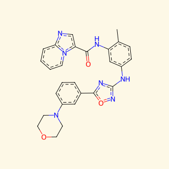 Cc1ccc(Nc2noc(-c3cccc(N4CCOCC4)c3)n2)cc1NC(=O)c1cnc2ccccn12